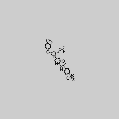 CCS(=O)(=O)c1ccc([C@H](CO)Nc2ccc(N3C[C@@H](Oc4ccc(C(F)(F)F)cc4)C[C@H]3COC(F)F)cn2)cc1